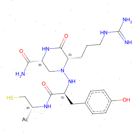 CC(=O)[C@H](CS)NC(=O)[C@H](Cc1ccc(O)cc1)NN1C[C@H](C(N)=O)NC(=O)[C@@H]1CCCNC(=N)N